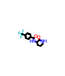 O=C(NC1CCCNC1=O)c1ccc(C(F)(F)F)cc1